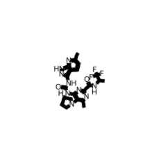 Cc1ccc2c(NC(=O)N3c4nc(C(=O)NC(C)C(F)(F)F)nc(C)c4N4CC[C@H]3C4)n[nH]c2n1